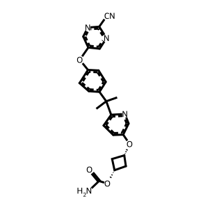 CC(C)(c1ccc(Oc2cnc(C#N)nc2)cc1)c1ccc(O[C@H]2C[C@@H](OC(N)=O)C2)cn1